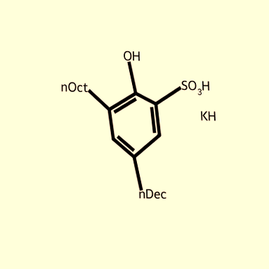 CCCCCCCCCCc1cc(CCCCCCCC)c(O)c(S(=O)(=O)O)c1.[KH]